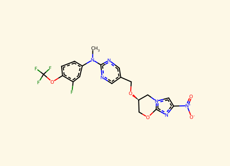 CN(c1ccc(OC(F)(F)F)c(F)c1)c1ncc(CO[C@@H]2COc3nc([N+](=O)[O-])cn3C2)cn1